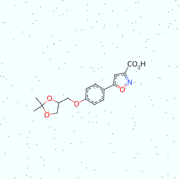 CC1(C)OCC(COc2ccc(-c3cc(C(=O)O)no3)cc2)O1